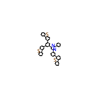 c1ccc(-c2nc(-c3cc(-c4ccc5sc6ccccc6c5c4)cc(-c4ccc5sc6ccccc6c5c4)c3)cc(-c3cccc(-c4cccc5c4sc4ccccc45)c3)n2)cc1